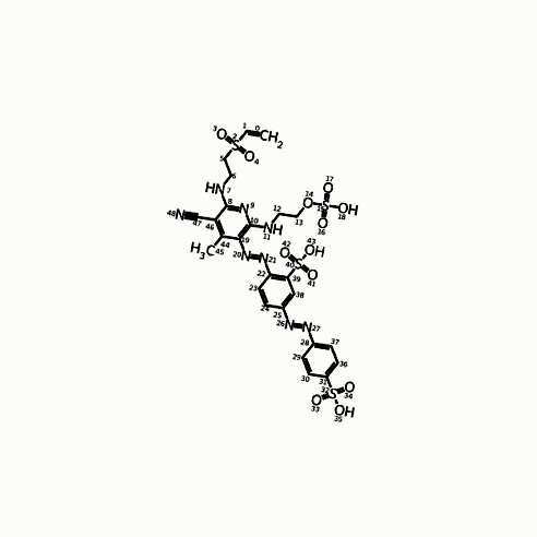 C=CS(=O)(=O)CCNc1nc(NCCOS(=O)(=O)O)c(/N=N/c2ccc(/N=N/c3ccc(S(=O)(=O)O)cc3)cc2S(=O)(=O)O)c(C)c1C#N